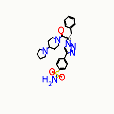 NS(=O)(=O)c1ccc(-c2cn([C@@H](Cc3ccccc3)C(=O)N3CCC(N4CCCC4)CC3)nn2)cc1